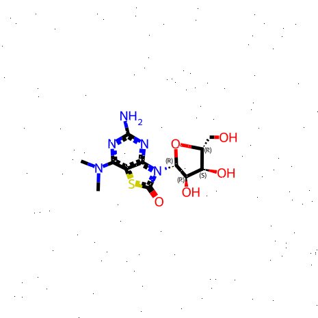 CN(C)c1nc(N)nc2c1sc(=O)n2[C@@H]1O[C@H](CO)[C@@H](O)[C@H]1O